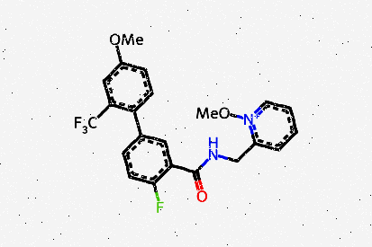 COc1ccc(-c2ccc(F)c(C(=O)NCc3cccc[n+]3OC)c2)c(C(F)(F)F)c1